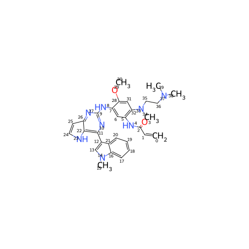 C=CC(=O)Nc1cc(Nc2nc(-c3cn(C)c4ccccc34)c3[nH]ccc3n2)c(OC)cc1N(C)CCN(C)C